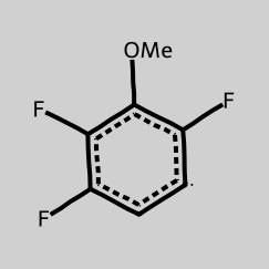 COc1c(F)[c]cc(F)c1F